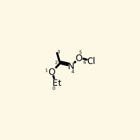 CCOC(C)=NOCl